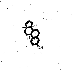 C[C@@]12C=CC[C@H]1[C@@H]1CCc3cc(O)ccc3[C@H]1CC2